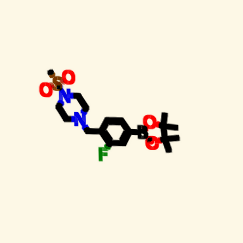 CC1(C)OB(c2ccc(CN3CCN(S(C)(=O)=O)CC3)c(F)c2)OC1(C)C